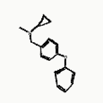 CN(Cc1ccc(Oc2ccccc2)cc1)C1CC1